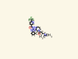 Cc1cccc2nc(NC(=O)c3ccc(C(F)(F)F)nc3)n(C3CCCCN(C(=O)C=CCN(C)C)C3)c12